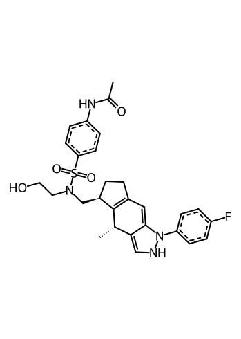 CC(=O)Nc1ccc(S(=O)(=O)N(CCO)C[C@H]2CCC3=C2[C@@H](C)C2=CNN(c4ccc(F)cc4)C2=C3)cc1